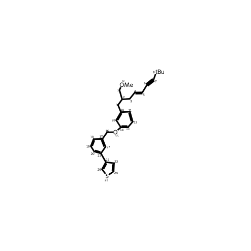 COCC(CC=CC#CC(C)(C)C)Cc1cccc(OCc2cccc(-c3ccsc3)c2)c1